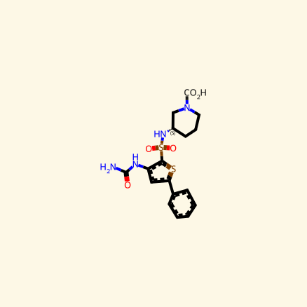 NC(=O)Nc1cc(-c2ccccc2)sc1S(=O)(=O)N[C@H]1CCCN(C(=O)O)C1